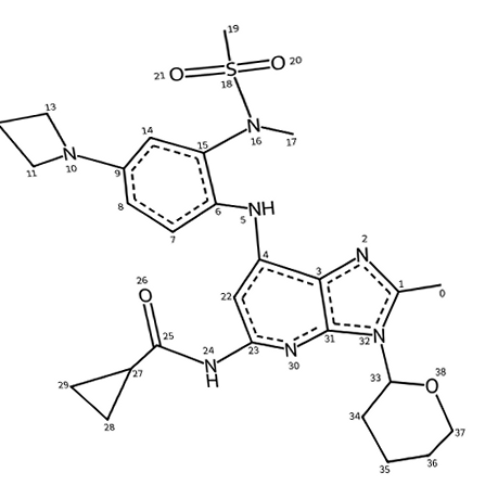 Cc1nc2c(Nc3ccc(N4CCC4)cc3N(C)S(C)(=O)=O)cc(NC(=O)C3CC3)nc2n1C1CCCCO1